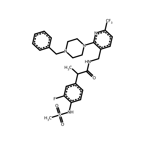 CC(C(=O)NCc1ccc(C(F)(F)F)nc1N1CCN(Cc2ccccc2)CC1)c1ccc(NS(C)(=O)=O)c(F)c1